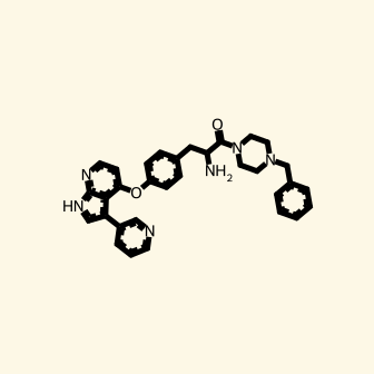 NC(Cc1ccc(Oc2ccnc3[nH]cc(-c4cccnc4)c23)cc1)C(=O)N1CCN(Cc2ccccc2)CC1